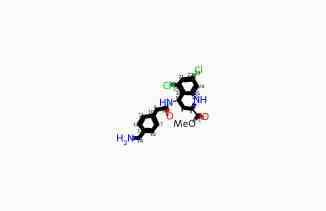 COC(=O)[C@H]1C[C@H](NC(=O)Cc2ccc(CN)cc2)c2c(Cl)cc(Cl)cc2N1